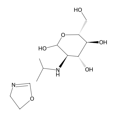 C1=NCCO1.CC(C)N[C@H]1C(O)O[C@H](CO)[C@@H](O)[C@@H]1O